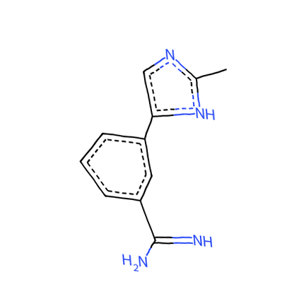 Cc1ncc(-c2cccc(C(=N)N)c2)[nH]1